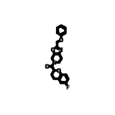 O=C(C1CCc2cc(F)ccc2O1)N1CCc2nc(COc3ccccc3)oc2C1